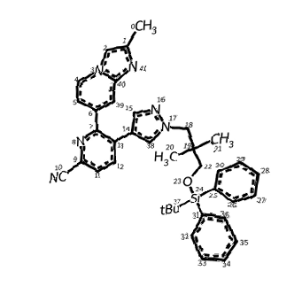 Cc1cn2ccc(-c3nc(C#N)ccc3-c3cnn(CC(C)(C)CO[Si](c4ccccc4)(c4ccccc4)C(C)(C)C)c3)cc2n1